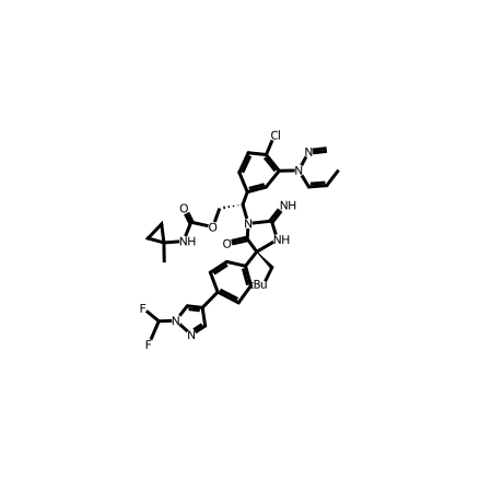 C=NN(/C=C\C)c1cc([C@@H](COC(=O)NC2(C)CC2)N2C(=N)N[C@](CC(C)(C)C)(c3ccc(-c4cnn(C(F)F)c4)cc3)C2=O)ccc1Cl